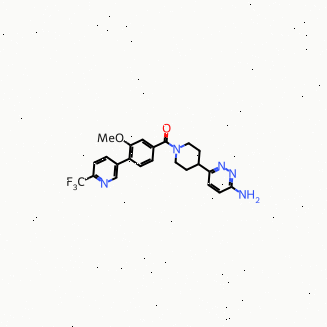 COc1cc(C(=O)N2CCC(c3ccc(N)nn3)CC2)ccc1-c1ccc(C(F)(F)F)nc1